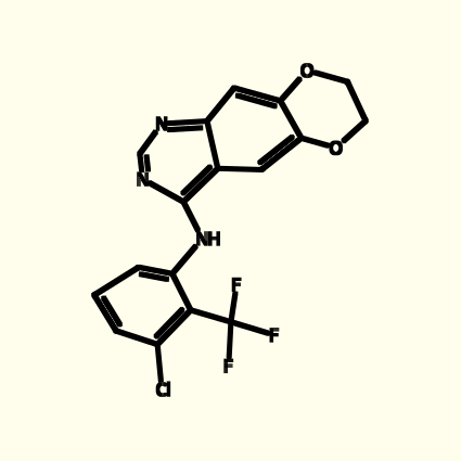 FC(F)(F)c1c(Cl)cccc1Nc1ncnc2cc3c(cc12)OCCO3